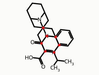 CC(C)C1CC2CC(C1)CC(N1C3CCCC1CC(n1c(=O)c(C(=O)O)nc4ccccc41)C3)C2